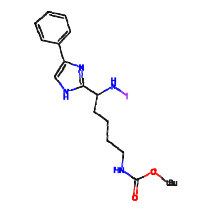 CC(C)(C)OC(=O)NCCCCC(NI)c1nc(-c2ccccc2)c[nH]1